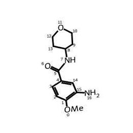 COc1ccc(C(=O)NC2CCOCC2)cc1N